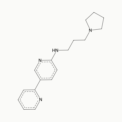 c1ccc(-c2ccc(NCCCN3CCCC3)nc2)nc1